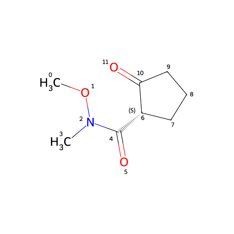 CON(C)C(=O)[C@H]1CCCC1=O